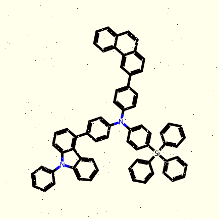 c1ccc(-n2c3ccccc3c3c(-c4ccc(N(c5ccc(-c6ccc7ccc8ccccc8c7c6)cc5)c5ccc([Si](c6ccccc6)(c6ccccc6)c6ccccc6)cc5)cc4)cccc32)cc1